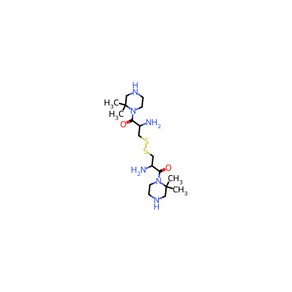 CC1(C)CNCCN1C(=O)C(N)CSSCC(N)C(=O)N1CCNCC1(C)C